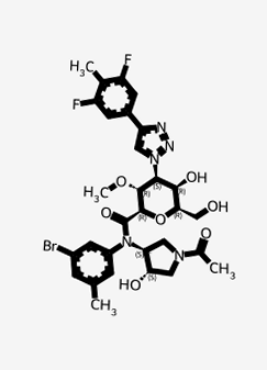 CO[C@@H]1[C@@H](n2cc(-c3cc(F)c(C)c(F)c3)nn2)[C@@H](O)[C@@H](CO)O[C@H]1C(=O)N(c1cc(C)cc(Br)c1)[C@H]1CN(C(C)=O)C[C@@H]1O